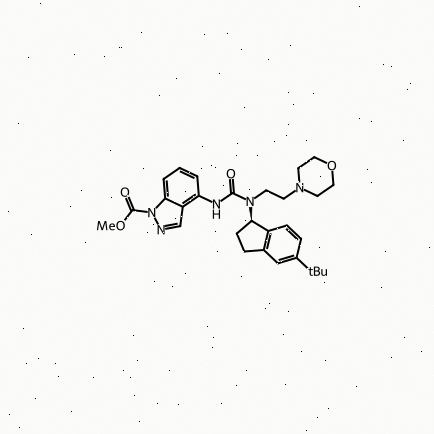 COC(=O)n1ncc2c(NC(=O)N(CCN3CCOCC3)[C@@H]3CCc4cc(C(C)(C)C)ccc43)cccc21